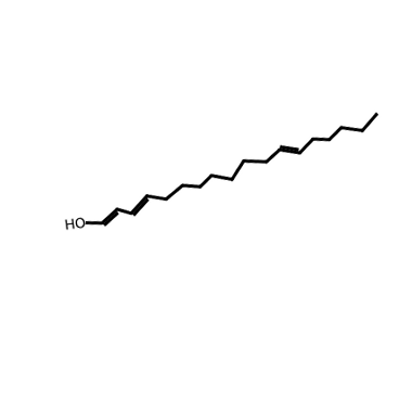 CCCCCC=CCCCCCCCC=CC=CO